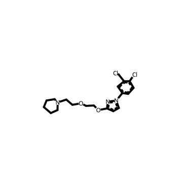 Clc1ccc(-n2ccc(OCCOCCN3CCCCC3)n2)cc1Cl